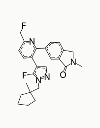 CN1Cc2ccc(-c3nc(CF)ccc3-c3cnn(CC4(C)CCCC4)c3F)cc2C1=O